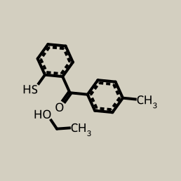 CCO.Cc1ccc(C(=O)c2ccccc2S)cc1